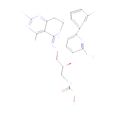 COc1cccc(-c2cc(F)ccc2[C@H]2Cc3nc(N)nc(C)c3/C(=N/OC[C@@H](O)CNC(=O)OC(C)(C)C)N2)n1